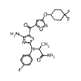 CC(C(N)=O)N(c1ccc(F)cc1)c1nc(N)c(C(=O)c2cc(OC3CCC(F)(F)CC3)no2)s1